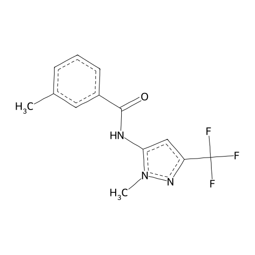 Cc1cccc(C(=O)Nc2cc(C(F)(F)F)nn2C)c1